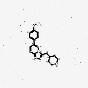 FC(F)(F)Oc1ccc(-c2ccc3nnc(CC4CCOCC4)n3n2)cc1